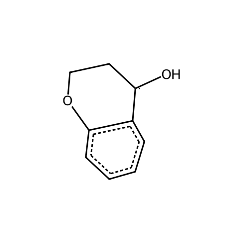 O[C]1CCOc2ccccc21